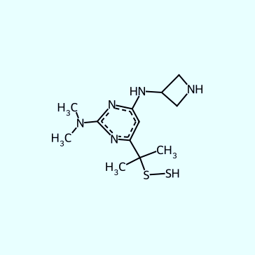 CN(C)c1nc(NC2CNC2)cc(C(C)(C)SS)n1